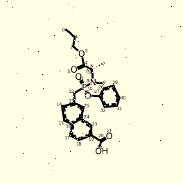 CCCOC(=O)[C@H](C)N(C)P(=O)(Cc1ccc2ccc(C(=O)O)cc2c1)Oc1ccccc1